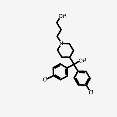 OCCCN1CCC(C(O)(c2ccc(Cl)cc2)c2ccc(Cl)cc2)CC1